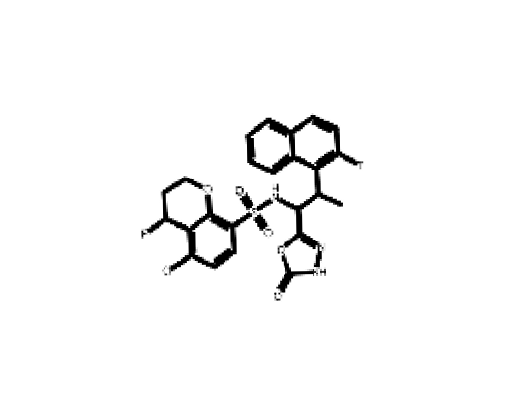 CC(c1c(F)ccc2ccccc12)C(NS(=O)(=O)c1ccc(Cl)c2c1OCCC2F)c1n[nH]c(=O)o1